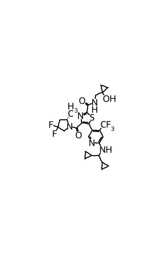 C[C@H]1CC(F)(F)CN1C(=O)c1nc(C(=O)NCC2(O)CC2)sc1-c1cnc(NC(C2CC2)C2CC2)cc1C(F)(F)F